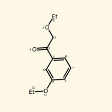 CCOCC(=O)c1cccc(OCC)c1